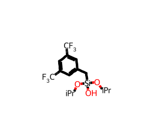 CC(C)O[Si](O)(Cc1cc(C(F)(F)F)cc(C(F)(F)F)c1)OC(C)C